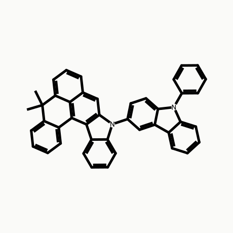 CC1(C)c2ccccc2-c2c3c1cccc3cc1c2c2ccccc2n1-c1ccc2c(c1)c1ccccc1n2-c1ccccc1